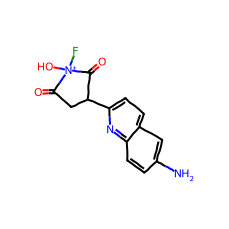 Nc1ccc2nc(C3CC(=O)[N+](O)(F)C3=O)ccc2c1